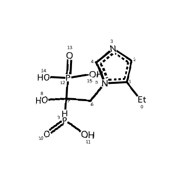 CCc1cncn1CC(O)([PH](=O)O)P(=O)(O)O